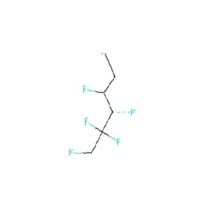 [CH2]CC(F)[C@H](F)C(F)(F)CF